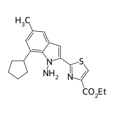 CCOC(=O)c1csc(-c2cc3cc(C)cc(C4CCCC4)c3n2N)n1